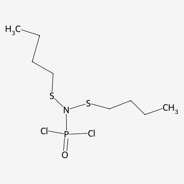 CCCCSN(SCCCC)P(=O)(Cl)Cl